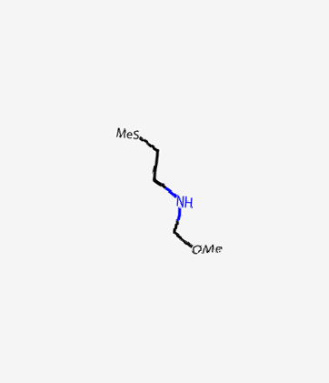 COCNCCSC